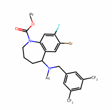 CC(=O)N(Cc1cc(C(F)(F)F)cc(C(F)(F)F)c1)C1CCCN(C(=O)OC(C)C)c2cc(F)c(Br)cc21